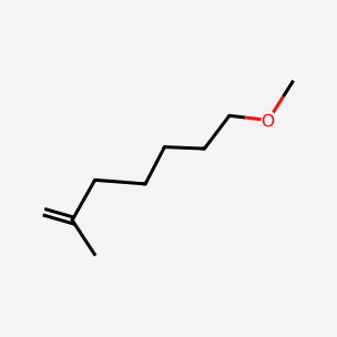 C=C(C)CCCCCOC